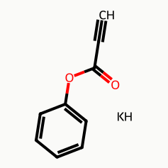 C#CC(=O)Oc1ccccc1.[KH]